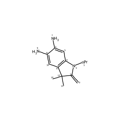 C=C1N(CCC)c2cc(N)c(N)cc2C1(C)C